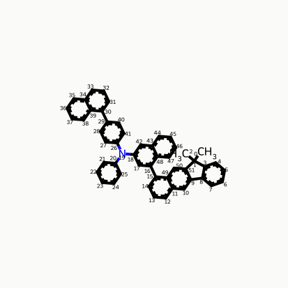 CC1(C)c2ccccc2-c2cc3cccc(-c4cc(N(c5ccccc5)c5ccc(-c6cccc7ccccc67)cc5)cc5ccccc45)c3cc21